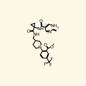 C=C/N=C\C(=C/N)C(=O)NC1(C(=O)NCC2CCN(c3ccc(C(F)(F)F)cc3C(=O)OC)CC2)CC1